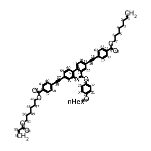 C=CCCCCCCOC(=O)c1ccc(C#Cc2ccc3c(c2)c(Oc2ccc(OCCCCCC)cc2)nc2cc(C#Cc4ccc(C(=O)OCCCCCCOC(=O)C=C)cc4)ccc23)cc1